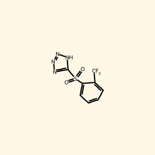 O=S(=O)(c1nnn[nH]1)c1ccccc1C(F)(F)F